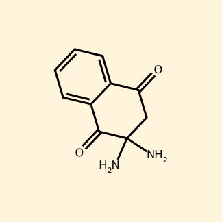 NC1(N)CC(=O)c2ccccc2C1=O